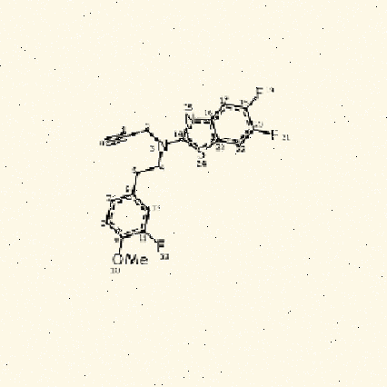 C#CCN(CCc1ccc(OC)c(F)c1)c1nc2cc(F)c(F)cc2s1